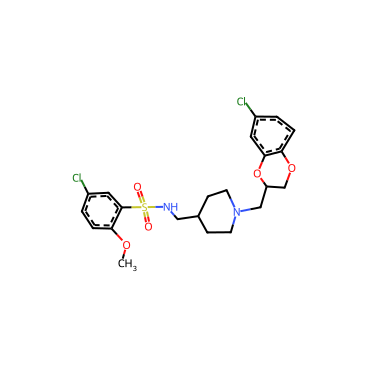 COc1ccc(Cl)cc1S(=O)(=O)NCC1CCN(CC2COc3ccc(Cl)cc3O2)CC1